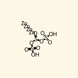 O=S(OS(=O)(=O)O)OS(=O)(=O)O.[Zn].[Zn].[Zn].[Zn]